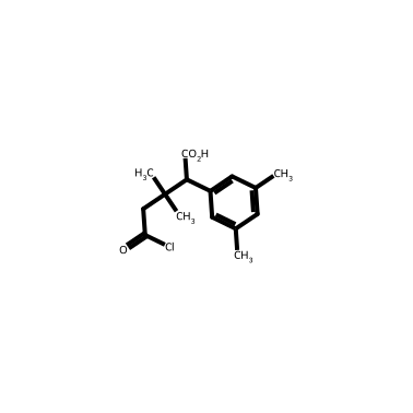 Cc1cc(C)cc(C(C(=O)O)C(C)(C)CC(=O)Cl)c1